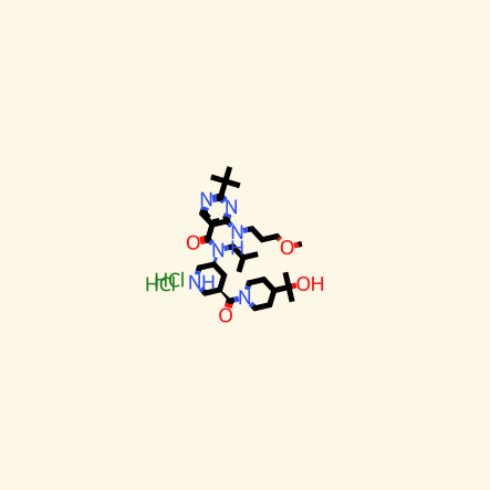 COCCCNc1nc(C(C)(C)C)ncc1C(=O)N(CC(C)C)[C@@H]1CNC[C@H](C(=O)N2CCC(C(C)(C)O)CC2)C1.Cl.Cl